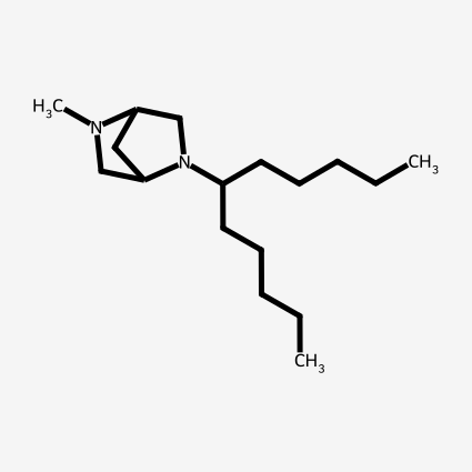 CCCCCC(CCCCC)N1CC2CC1CN2C